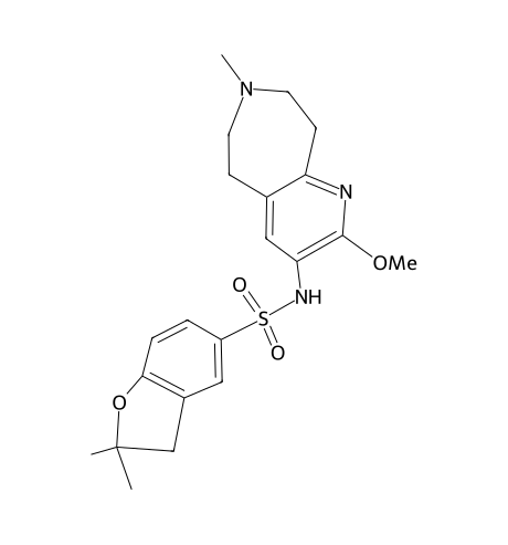 COc1nc2c(cc1NS(=O)(=O)c1ccc3c(c1)CC(C)(C)O3)CCN(C)CC2